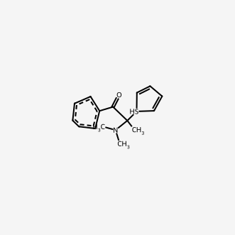 CN(C)C(C)(C(=O)c1ccccc1)[SH]1C=CC=C1